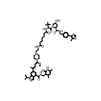 C=N/C(=C\C=C(/C)c1cc(C(=O)NCc2c(C)cc(C)[nH]c2=O)c2cnn(C(C)C)c2c1)N1CCN(CCNC(=O)CCCCCC(=O)N[C@H](C(=O)N2C[C@H](O)C[C@H]2C(=O)NCc2ccc(-c3scnc3C)cc2)C(C)(C)C)CC1